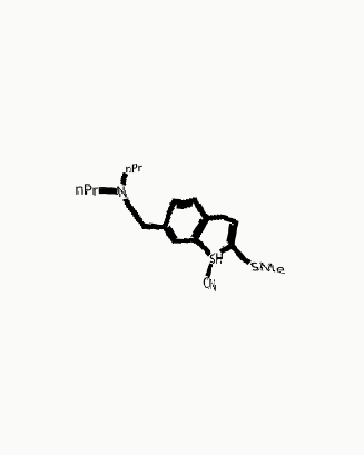 CCCN(CCC)Cc1ccc2c(c1)[SH](C#N)C(SC)=C2